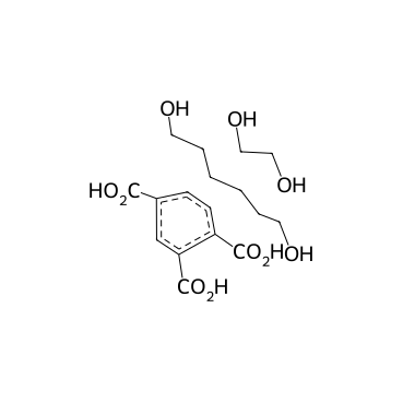 O=C(O)c1ccc(C(=O)O)c(C(=O)O)c1.OCCCCCCO.OCCO